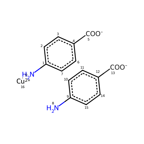 Nc1ccc(C(=O)[O-])cc1.Nc1ccc(C(=O)[O-])cc1.[Cu+2]